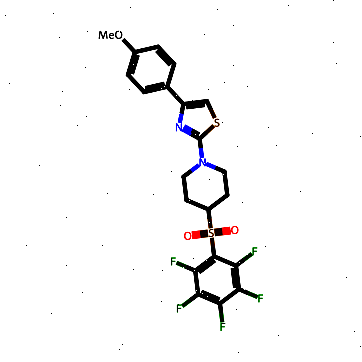 COc1ccc(-c2csc(N3CCC(S(=O)(=O)c4c(F)c(F)c(F)c(F)c4F)CC3)n2)cc1